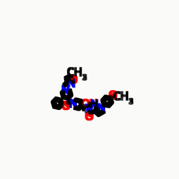 COc1ccc(-n2ccc3c(=O)n(CC4(O)CCN(C(=O)[C@@H]5CCN(Cc6cc(C)on6)C[C@H]5c5ccccc5)CC4)cnc32)cc1